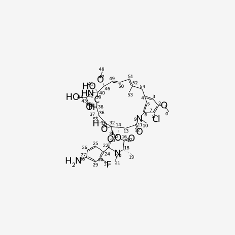 COc1cc2cc(c1Cl)N(C)C(=O)C[C@H](OC(=O)[C@H](C)N(C)C(=O)c1ccc(N)cc1F)[C@]1(C)O[C@H]1[C@H](C)[C@@H]1C[C@@](O)(NC(O)O1)[C@H](OC)/C=C/C=C(\C)C2